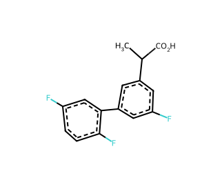 CC(C(=O)O)c1cc(F)cc(-c2cc(F)ccc2F)c1